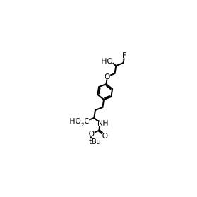 CC(C)(C)OC(=O)NC(CCc1ccc(OCC(O)CF)cc1)C(=O)O